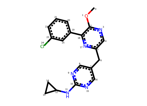 COc1ncc(Cc2cnc(NC3CC3)nc2)nc1-c1cccc(Cl)c1